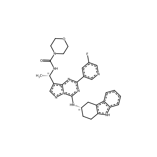 C[C@H](NC(=O)N1CCOCC1)c1cnn2c(N[C@H]3CCc4[nH]c5ccccc5c4C3)nc(-c3cncc(F)c3)nc12